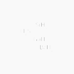 S.[BaH2].[GaH3].[SrH2]